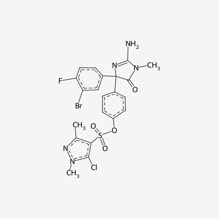 Cc1nn(C)c(Cl)c1S(=O)(=O)Oc1ccc(C2(c3ccc(F)c(Br)c3)N=C(N)N(C)C2=O)cc1